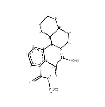 CCCCCCCCOC(=O)c1cccc(C2CCCC3CCCCC32)c1C(=O)OCCCCCCCC